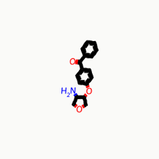 NC1COCC1Oc1ccc(C(=O)c2ccccc2)cc1